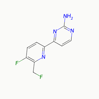 Nc1nccc(-c2ccc(F)c(CF)n2)n1